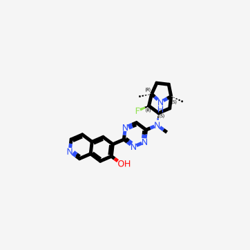 CN(c1cnc(-c2cc3ccncc3cc2O)nn1)[C@H]1C[C@]2(C)CC[C@@](C)(N2)[C@@H]1F